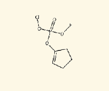 O=P(OF)(OCl)OC1=CCCC1